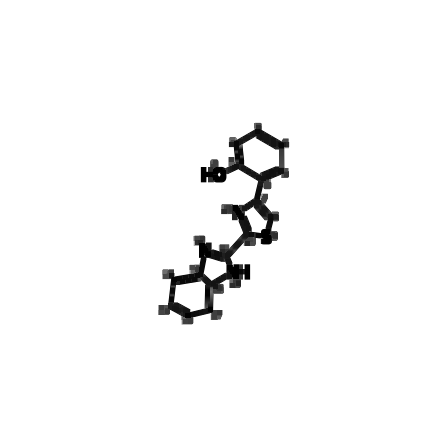 Oc1ccccc1-c1csc(-c2nc3ccccc3[nH]2)n1